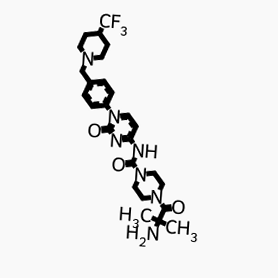 CC(C)(N)C(=O)N1CCN(C(=O)Nc2ccn(-c3ccc(CN4CCC(C(F)(F)F)CC4)cc3)c(=O)n2)CC1